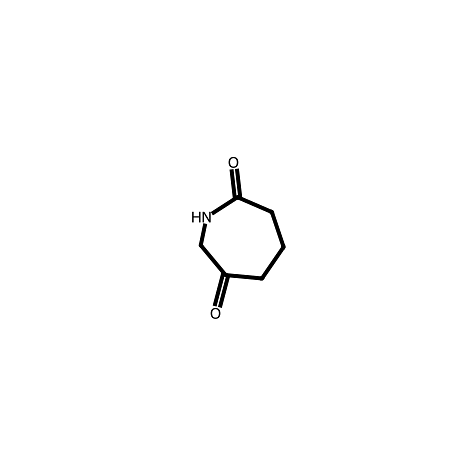 O=C1CCCC(=O)NC1